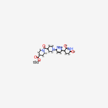 CC(C)(C)OC(=O)C1CCN(C(=O)C2CCN(c3ccc(C4CCC(=O)NC4=O)nn3)CC2)CC1